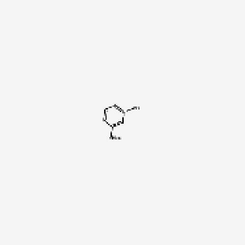 CCCCCCc1ccc[n+](CCCC)c1